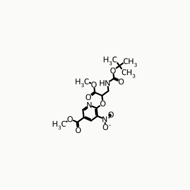 COC(=O)c1cnc(OC(CNC(=O)OC(C)(C)C)C(=O)OC)c([N+](=O)[O-])c1